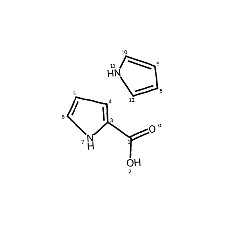 O=C(O)c1ccc[nH]1.c1cc[nH]c1